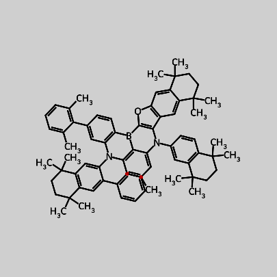 Cc1cc2c3c(c1)N(c1ccc4c(c1)C(C)(C)CCC4(C)C)c1c(oc4cc5c(cc14)C(C)(C)CCC5(C)C)B3c1ccc(-c3c(C)cccc3C)cc1N2c1cc2c(cc1-c1ccccc1)C(C)(C)CCC2(C)C